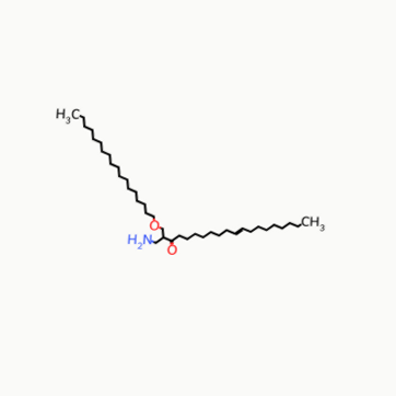 CCCCCCCCC=CCCCCCCCC(=O)C(CN)COCCCCCCCCCCCCCCCCCC